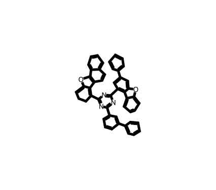 C1=c2oc3c(ccc4ccccc43)c2=C(c2nc(-c3cccc(-c4ccccc4)c3)nc(-c3cc(-c4ccccc4)cc4oc5ccccc5c34)n2)CC1